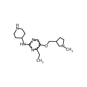 CCc1nc(NC2CCNCC2)ncc1OCC1CCN(C)C1